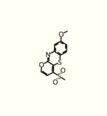 COc1ccc2c(c1)N=C1OC=CC(S(C)(=O)=O)=C1S2